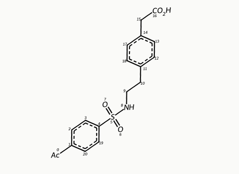 CC(=O)c1ccc(S(=O)(=O)NCCc2ccc(CC(=O)O)cc2)cc1